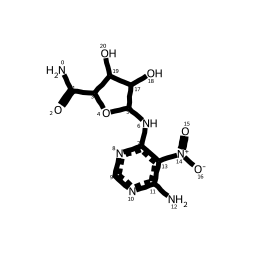 NC(=O)C1OC(Nc2ncnc(N)c2[N+](=O)[O-])C(O)C1O